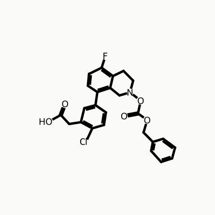 O=C(O)Cc1cc(-c2ccc(F)c3c2CN(OC(=O)OCc2ccccc2)CC3)ccc1Cl